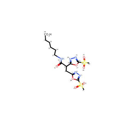 CS(=O)(=O)c1nnc(CC(C(=O)NCCCCCC(=O)O)c2nnc(S(C)(=O)=O)o2)o1